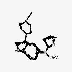 CN1CCC(c2c[nH]c3ccc(N(C=O)c4ccno4)cc23)CC1